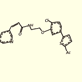 CC(=O)c1ccc(-c2ccc(Cl)c(OCCNC(=O)/C=C\c3cccnc3)c2)s1